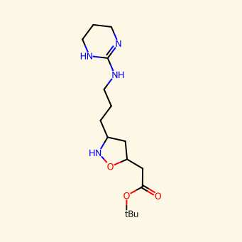 CC(C)(C)OC(=O)CC1CC(CCCNC2=NCCCN2)NO1